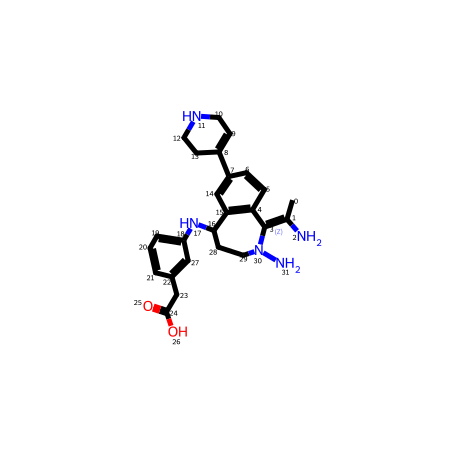 C/C(N)=C1\c2ccc(C3=CCNCC3)cc2C(Nc2cccc(CC(=O)O)c2)CCN1N